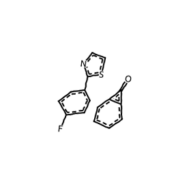 Fc1ccc(-c2nccs2)cc1.O=c1c2ccccc12